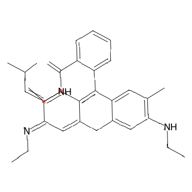 C=C(N/C=C\C(C)C)c1ccccc1C1=C2C=C(C)/C(=N/CC)C=C2Cc2cc(NCC)c(C)cc21